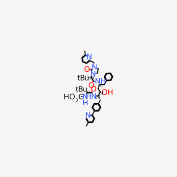 Cc1ccc(-c2ccc(C[C@H](NC(=O)[C@@H](NC(=O)O)C(C)(C)C)[C@@H](O)C[C@H](Cc3ccccc3)NC(=O)[C@@H](N3CCN(Cc4cccc(C)n4)C3=O)C(C)(C)C)cc2)nc1